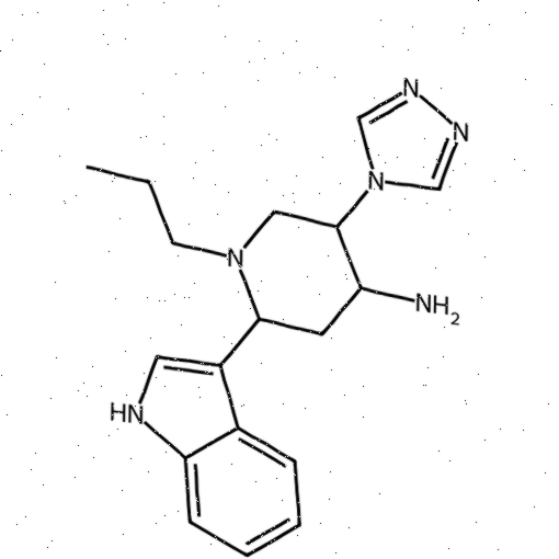 CCCN1CC(n2cnnc2)C(N)CC1c1c[nH]c2ccccc12